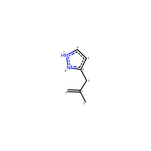 C=C(C)Cc1[c]c[nH]n1